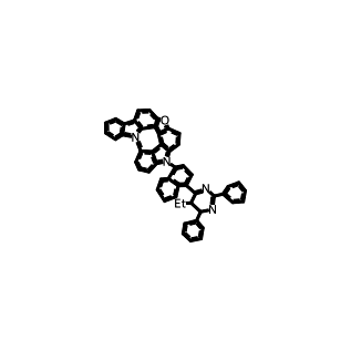 CCC1C(c2ccc(-n3c4ccc5oc6ccc7c8ccccc8n8c9cccc3c9c4c5c6c78)c3ccccc23)=NC(c2ccccc2)=NC1c1ccccc1